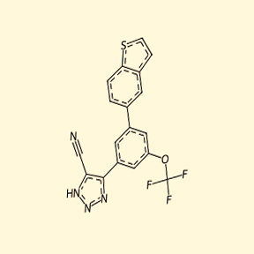 N#Cc1[nH]nnc1-c1cc(OC(F)(F)F)cc(-c2ccc3sccc3c2)c1